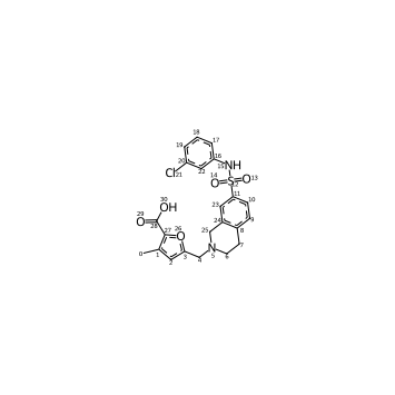 Cc1cc(CN2CCc3ccc(S(=O)(=O)Nc4cccc(Cl)c4)cc3C2)oc1C(=O)O